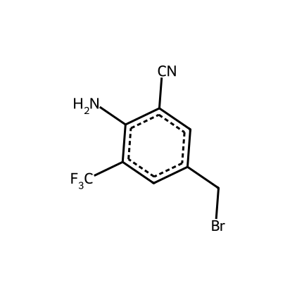 N#Cc1cc(CBr)cc(C(F)(F)F)c1N